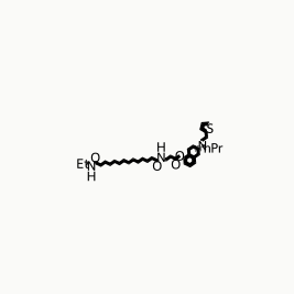 CCCN(CCc1cccs1)[C@H]1CCc2c(cccc2OC(=O)CCNC(=O)CCCCCCCCCCCCC(=O)NCC)C1